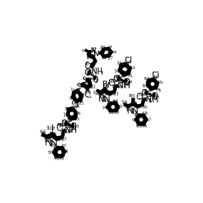 Cc1cc(CC(=O)NS(=O)(=O)c2cc(Cl)c(Sc3ccccc3)s2)n(-c2ccccc2)n1.Cc1nn(-c2ccccc2)c(CC(=O)NS(=O)(=O)c2ccc(Cl)cc2)c1Br.Cc1nn(-c2ccccc2)c(CC(=O)NS(=O)(=O)c2ccc(Cl)cc2)c1C.Cc1nn(-c2ccccc2)c(CC(=O)NS(=O)(=O)c2ccc(Cl)cc2)c1I